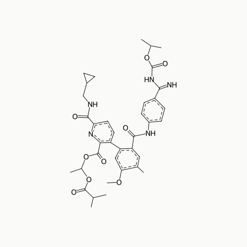 COc1cc(-c2ccc(C(=O)NCC3CC3)nc2C(=O)OC(C)OC(=O)C(C)C)c(C(=O)Nc2ccc(C(=N)NC(=O)OC(C)C)cc2)cc1C